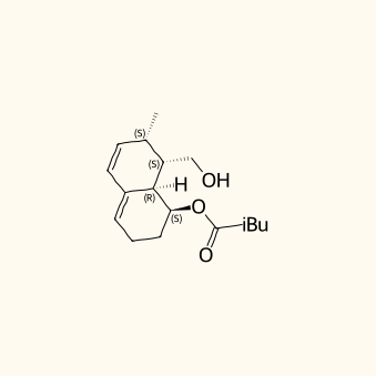 CCC(C)C(=O)O[C@H]1CCC=C2C=C[C@H](C)[C@H](CO)[C@H]21